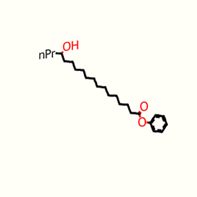 CCCC(O)CCCCCCCCCCCCCC(=O)Oc1ccccc1